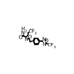 NC(=O)c1nc(Cc2ccc(-c3noc(C(F)(F)F)n3)cc2)oc1CC(F)(F)F